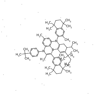 CCC(C)(C)C1=CC2=C(CC1C(C)C)N(c1cc3c(cc1C)C(C)(C)CCC3(C)C)c1cc(C)cc3c1B2C(c1cc2c(cc1C)C(C)(C)CCC2(C)C)=C(C)N3c1ccc(C(C)(C)C)cc1